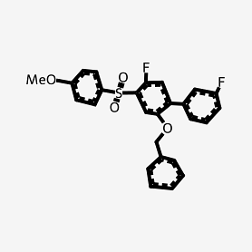 COc1ccc(S(=O)(=O)c2cc(OCc3ccccc3)c(-c3cccc(F)c3)cc2F)cc1